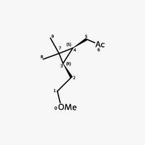 COCC[C@@H]1[C@H](CC(C)=O)C1(C)C